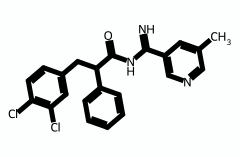 Cc1cncc(C(=N)NC(=O)C(Cc2ccc(Cl)c(Cl)c2)c2ccccc2)c1